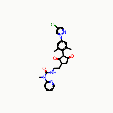 Cc1cc(-n2cc(Cl)cn2)cc(C)c1C1C(=O)CC(CCNC(=O)N(C)c2ccccn2)C1=O